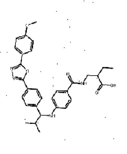 CCC(CNC(=O)c1ccc(NC(c2ccc(-c3nnc(-c4ccc(OC)cc4)o3)cc2)C(C)C)cc1)C(=O)O